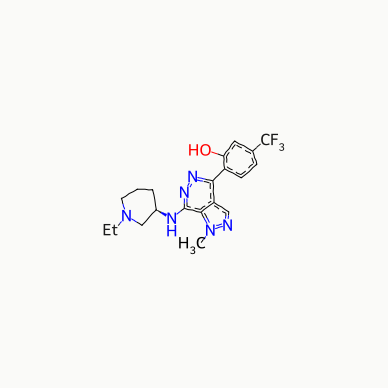 CCN1CCC[C@@H](Nc2nnc(-c3ccc(C(F)(F)F)cc3O)c3cnn(C)c23)C1